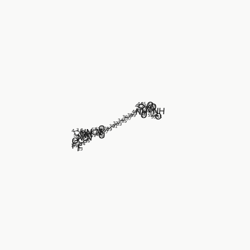 C[C@@]1(O)CCC[C@H]1n1c(=O)c(C(F)F)cc2cnc(NC3CCN(S(=O)(=O)CCCCCCCCCCCCCCNc4cccc5c4C(=O)N(C4CCC(=O)NC4=O)C5=O)CC3)nc21